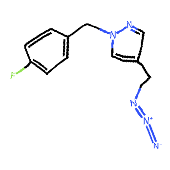 [N-]=[N+]=NCc1cnn(Cc2ccc(F)cc2)c1